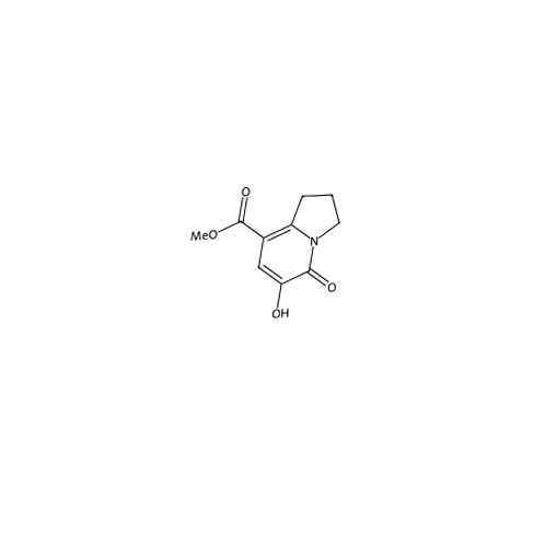 COC(=O)c1cc(O)c(=O)n2c1CCC2